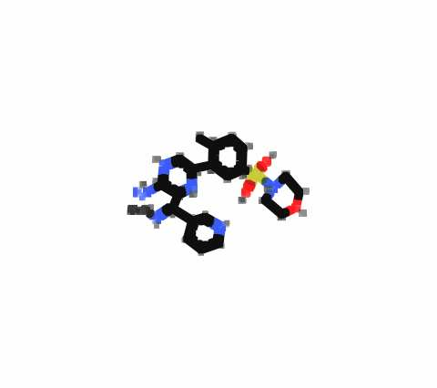 CON=C(c1cccnc1)c1nc(-c2cc(S(=O)(=O)N3CCOCC3)ccc2C)cnc1N